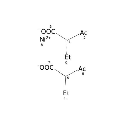 CCC(C(C)=O)C(=O)[O-].CCC(C(C)=O)C(=O)[O-].[Ni+2]